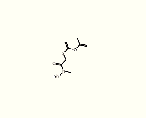 C=C(C)OC(=C)SCC(=O)N(C)CCC